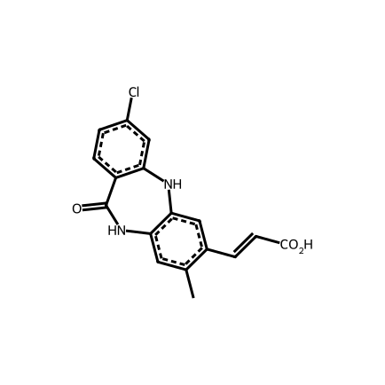 Cc1cc2c(cc1C=CC(=O)O)Nc1cc(Cl)ccc1C(=O)N2